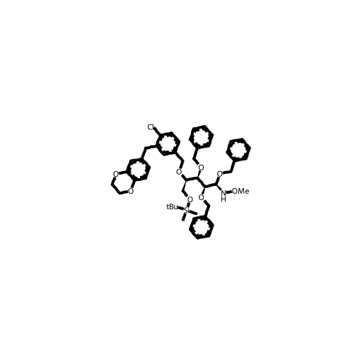 CON[C@H](OCc1ccccc1)[C@@H](OCc1ccccc1)[C@H](OCc1ccccc1)[C@@H](CO[Si](C)(C)C(C)(C)C)OCc1ccc(Cl)c(Cc2ccc3c(c2)OCCO3)c1